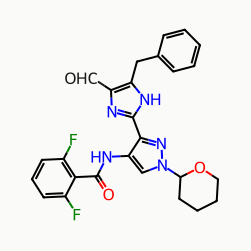 O=Cc1nc(-c2nn(C3CCCCO3)cc2NC(=O)c2c(F)cccc2F)[nH]c1Cc1ccccc1